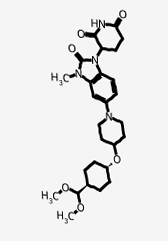 COC(OC)[C@H]1CC[C@H](OC2CCN(c3ccc4c(c3)n(C)c(=O)n4C3CCC(=O)NC3=O)CC2)CC1